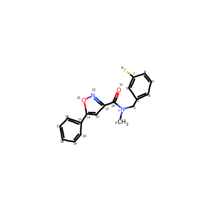 CN(Cc1cccc(F)c1)C(=O)c1cc(-c2ccccc2)on1